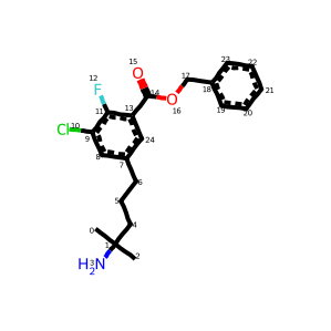 CC(C)(N)CCCc1cc(Cl)c(F)c(C(=O)OCc2ccccc2)c1